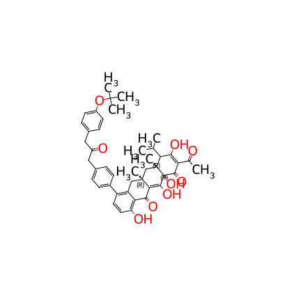 CC(=O)C1=C(O)C(C(C)C)[C@@]2(C)C[C@@]3(C)Cc4c(-c5ccc(CC(=O)Cc6ccc(OC(C)(C)C)cc6)cc5)ccc(O)c4C(=O)C3=C(O)[C@@]2(O)C1=O